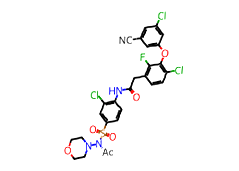 CC(=O)N(N1CCOCC1)S(=O)(=O)c1ccc(NC(=O)Cc2ccc(Cl)c(Oc3cc(Cl)cc(C#N)c3)c2F)c(Cl)c1